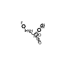 O=c1c(N2CC3(COC3)C2)nc(CCCN[C@@H]2C[C@H]2c2ccc(F)cc2)cn1-c1ccc(-n2ccnn2)cc1